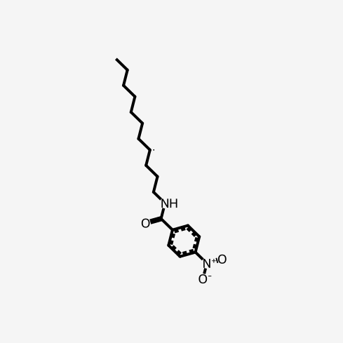 CCCCCCC[CH]CCCNC(=O)c1ccc([N+](=O)[O-])cc1